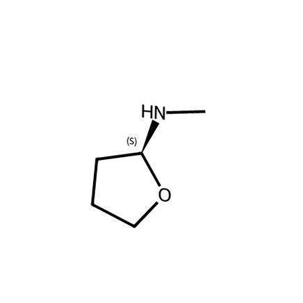 CN[C@@H]1CCCO1